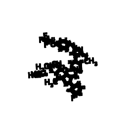 CCn1nc(Cc2ccc(OCC(F)(F)F)cc2)cc1C1CCN(CC2CC(N(C)[C@H](CC(C)C)C(=O)O)CC2c2cccc(F)c2)CC1.Cl.Cl.Cl